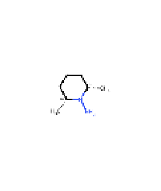 C[C@@H]1CCC[C@H](C)N1N